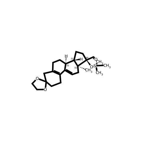 C[C@]12CC=C3C4=C(CC[C@H]3[C@@H]1CC[C@@]2(C=O)O[Si](C)(C)C)CC1(CC4)OCCO1